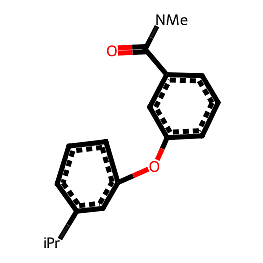 CNC(=O)c1cccc(Oc2cccc(C(C)C)c2)c1